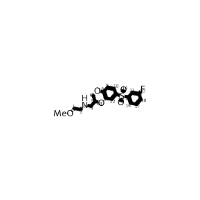 COCCNCC1COc2ccc(S(=O)(=O)c3cccc(F)c3)cc2O1